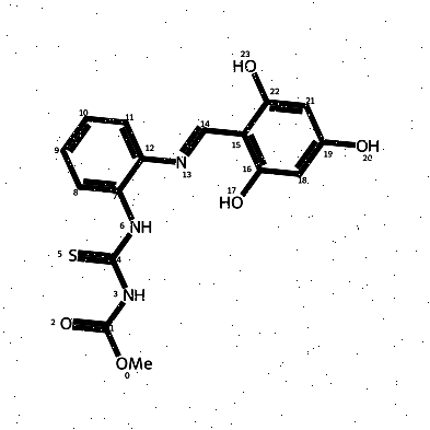 COC(=O)NC(=S)Nc1ccccc1/N=C/c1c(O)cc(O)cc1O